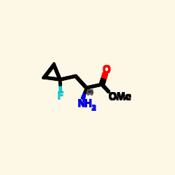 COC(=O)[C@@H](N)CC1(F)CC1